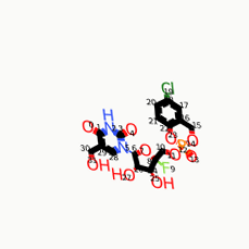 O=c1[nH]c(=O)n([C@@H]2O[C@](F)(COP3(=O)OCc4cc(Cl)ccc4O3)[C@@H](O)[C@H]2O)cc1CO